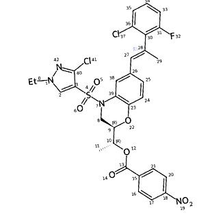 CCn1cc(S(=O)(=O)N2C[C@H]([C@@H](C)OC(=O)c3ccc([N+](=O)[O-])cc3)Oc3ccc(/C=C(\C)c4c(F)cccc4Cl)cc32)c(Cl)n1